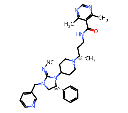 [C-]#[N+]N=C1N(Cc2cccnc2)C[C@@H](c2ccccc2)N1C1CCN([C@@H](C)CCNC(=O)c2c(C)ncnc2C)CC1